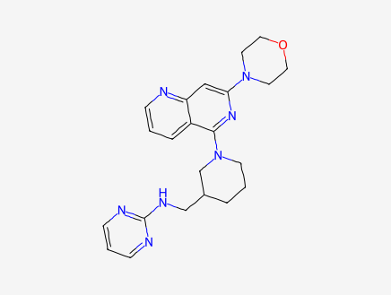 c1cnc(NCC2CCCN(c3nc(N4CCOCC4)cc4ncccc34)C2)nc1